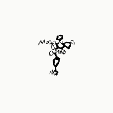 COC(=O)Oc1c(CNC(=O)c2ccc(-c3cc[nH]n3)cc2)c(=O)c2ccc(Cl)cc2n1-c1ccccc1